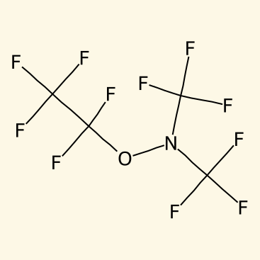 FC(F)(F)N(OC(F)(F)C(F)(F)F)C(F)(F)F